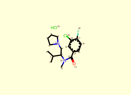 CC(C)C(CN1CCCC1)N(C)C(=O)c1ccc(F)c(Cl)c1.Cl